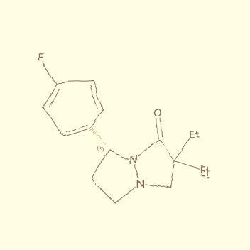 CCC1(CC)CN2CC[C@H](c3ccc(F)cc3)N2C1=O